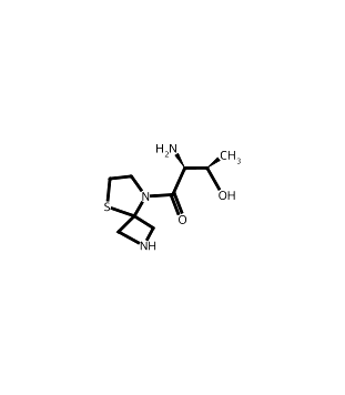 C[C@@H](O)[C@H](N)C(=O)N1CCSC12CNC2